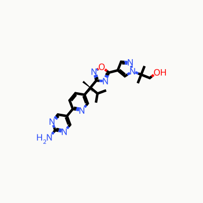 CC(C)[C@](C)(c1ccc(-c2cnc(N)nc2)nc1)c1noc(-c2cnn(C(C)(C)CO)c2)n1